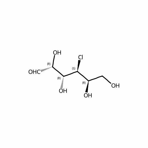 O=C[C@H](O)[C@@H](O)[C@@H](Cl)[C@H](O)CO